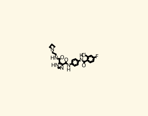 O=C(Nc1ccc(NC(=O)c2nc[nH]c2C(=O)NCCN2CCC2)cc1)c1ccc(F)cc1Cl